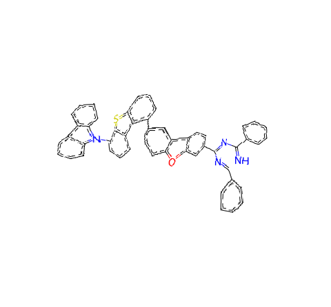 N=C(/N=C(\N=C\c1ccccc1)c1ccc2c(c1)oc1ccc(-c3cccc4sc5c(-n6c7ccccc7c7ccccc76)cccc5c34)cc12)c1ccccc1